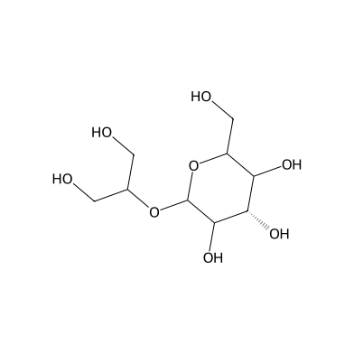 OCC(CO)OC1OC(CO)C(O)[C@H](O)C1O